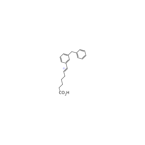 O=C(O)CCCC/C=C/c1cccc(Cc2ccccc2)c1